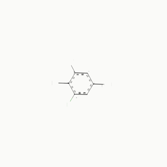 CCc1c(C)cc(C)cc1F